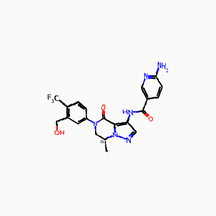 C[C@H]1CN(c2ccc(C(F)(F)F)c(CO)c2)C(=O)c2c(NC(=O)c3ccc(N)nc3)cnn21